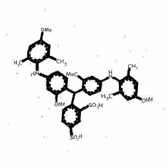 COc1cc(C)c(Nc2ccc(C(c3ccc(Nc4c(C)cc(OC)cc4C)cc3OC)c3ccc(S(=O)(=O)O)cc3S(=O)(=O)O)c(OC)c2)c(C)c1